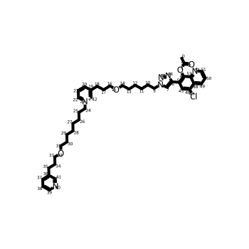 CC(=O)Oc1c(-c2cn(CCCCCCOCCCc3ccc[n+](CCCCCCCCOCCCc4cccnc4)c3)nn2)cc(Cl)c2cccnc12